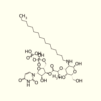 CCCCCCCCCCCCCCCCN[C@@H]1[C@@H](OC(C)C(=O)O[C@H]2[C@@H](O)[C@H](n3ccc(=O)[nH]c3=O)O[C@@H]2COP(=O)(O)OP(=O)(O)O)[C@H](O)[C@@H](CO)O[C@@H]1O